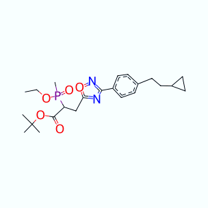 CCOP(C)(=O)C(Cc1nc(-c2ccc(CCC3CC3)cc2)no1)C(=O)OC(C)(C)C